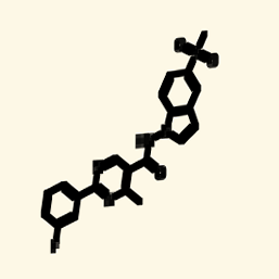 Cc1nc(-c2cccc(F)c2)ncc1C(=O)Nn1ccc2cc(S(C)(=O)=O)ccc21